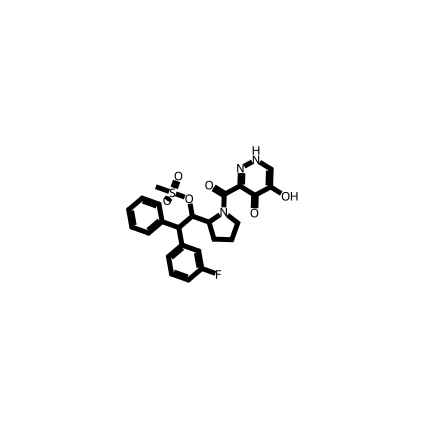 CS(=O)(=O)OC(C(c1ccccc1)c1cccc(F)c1)C1CCCN1C(=O)c1n[nH]cc(O)c1=O